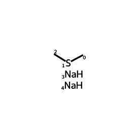 CSC.[NaH].[NaH]